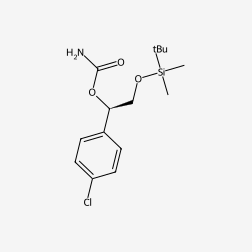 CC(C)(C)[Si](C)(C)OC[C@H](OC(N)=O)c1ccc(Cl)cc1